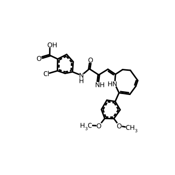 COc1ccc(/C2=C/C=C\CC/C(=C/C(=N)C(=O)Nc3ccc(C(=O)O)c(Cl)c3)N2)cc1OC